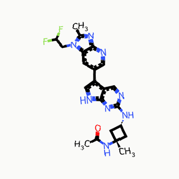 CC(=O)N[C@]1(C)C[C@H](Nc2ncc3c(-c4cnc5nc(C)n(CC(F)F)c5c4)c[nH]c3n2)C1